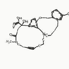 CN1CC/C=C\CCCN2CCCCc3cc(Cl)ccc3COc3ccc(cc32)[C@@](O)(C(=O)O)CC1=O